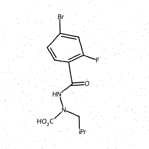 CC(C)CN(NC(=O)c1ccc(Br)cc1F)C(=O)O